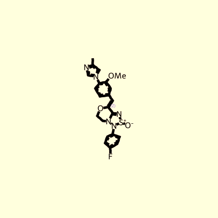 COc1cc(/C=C2\OCCN3C2=N[S+]([O-])N3c2ccc(F)cc2)ccc1-n1cnc(C)c1